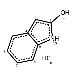 Cl.Oc1cc2ccccc2[nH]1